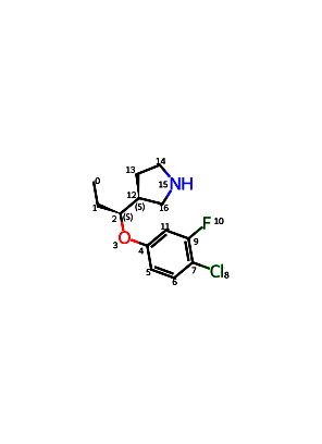 CC[C@H](Oc1ccc(Cl)c(F)c1)[C@H]1CCNC1